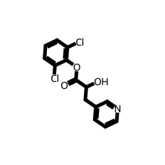 O=C(Oc1c(Cl)cccc1Cl)C(O)Cc1cccnc1